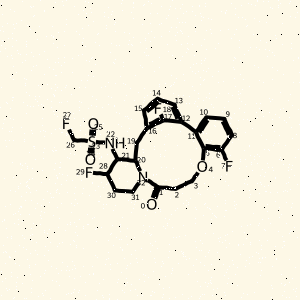 O=C1CCOc2c(F)cccc2-c2cccc(c2F)CC2C(NS(=O)(=O)CF)C(F)CCN12